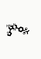 CC(C)S(=O)(=O)c1ccc(-c2cnc3[nH]cc(-c4cccs4)c3n2)cc1